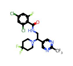 O=C(NCC(c1cnc(C(F)(F)F)nc1)N1CCC(F)(F)CC1)c1c(F)cc(Cl)cc1Cl